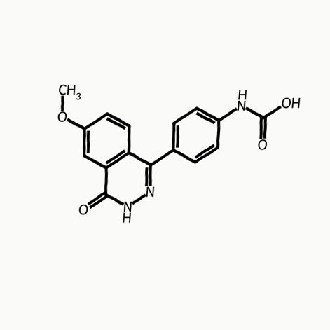 COc1ccc2c(-c3ccc(NC(=O)O)cc3)n[nH]c(=O)c2c1